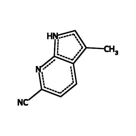 Cc1c[nH]c2nc(C#N)ccc12